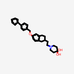 OC1(O)CCN(CCC2CCc3cc(OCc4ccc(-c5ccccc5)cc4)ccc3C2)CC1